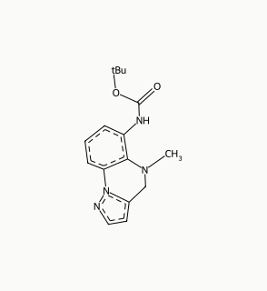 CN1Cc2ccnn2-c2cccc(NC(=O)OC(C)(C)C)c21